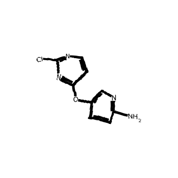 Nc1ccc(Oc2ccnc(Cl)n2)cn1